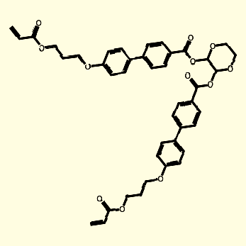 C=CC(=O)OCCCOc1ccc(-c2ccc(C(=O)OC3OCCOC3OC(=O)c3ccc(-c4ccc(OCCCOC(=O)C=C)cc4)cc3)cc2)cc1